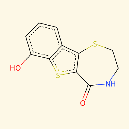 O=C1NCCSc2c1sc1c(O)cccc21